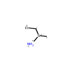 CCC[Si](C)C.N